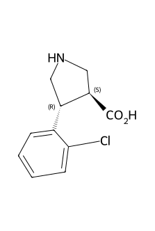 O=C(O)[C@@H]1CNC[C@H]1c1ccccc1Cl